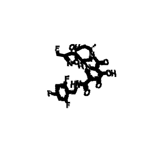 C[C@H]1CC[C@@]2(ON=C(CF)[C@@H]2O)[C@H]2CN1C(=O)c1c(O)c(=O)c(C(=O)NCc3c(F)cc(F)cc3F)cn12